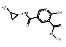 CNC(=O)c1cc(C(=O)N[C@@H]2C[C@H]2C)cnc1O